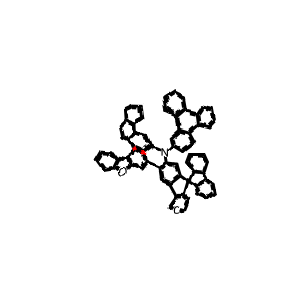 c1ccc2c(c1)-c1ccccc1C21c2ccccc2-c2cc(-c3ccc4c(c3)oc3ccccc34)c(N(c3ccc4ccc5ccccc5c4c3)c3ccc4c5ccccc5c5ccccc5c4c3)cc21